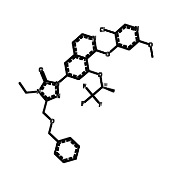 CCn1c(COCc2ccccc2)nn(-c2cc(O[C@@H](C)C(F)(F)F)c3c(Oc4cc(OC)ncc4Cl)nccc3c2)c1=O